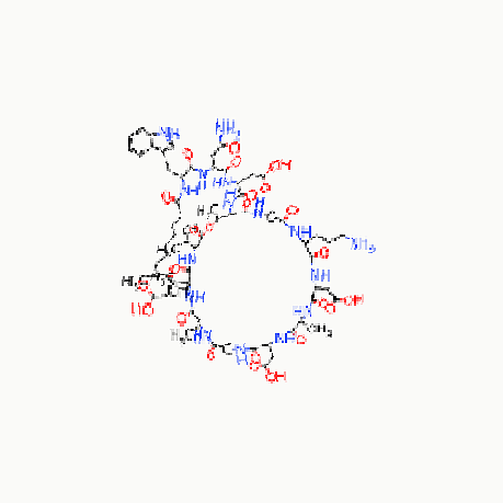 CCC(C)CCCCCCC(=O)NC(Cc1c[nH]c2ccccc12)C(=O)NC(CC(N)=O)C(=O)NC(CC(=O)O)C(=O)NC1C(=O)NCC(=O)NC(CCCN)C(=O)NC(CC(=O)O)C(=O)NC(C)C(=O)NC(CC(=O)O)C(=O)NCC(=O)NC(C)C(=O)NC(C(C)CC(=O)O)C(=O)NC(C(C)C)C(=O)OC1C